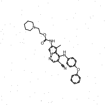 Cc1c(NC(=O)OCCN2CCCCC2)cn2ncc(C#N)c(Nc3ccc(Oc4ccccc4)cc3)c12